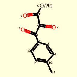 COC(=O)C(=O)C(=O)c1ccc(C)cc1